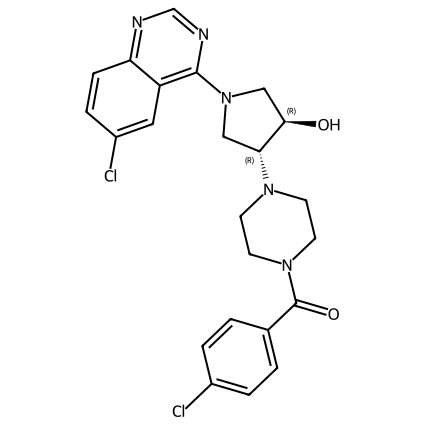 O=C(c1ccc(Cl)cc1)N1CCN([C@@H]2CN(c3ncnc4ccc(Cl)cc34)C[C@H]2O)CC1